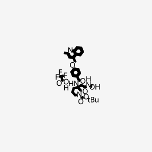 Cc1cc(COc2ccc(C(=O)NC3(CC(=O)NO)CCCN(C(=O)OC(C)(C)C)C3)cc2)c2ccccc2n1.O=C(O)C(F)(F)F